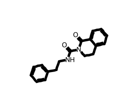 O=C(NCCc1ccccc1)N1CCc2ccccc2C1=O